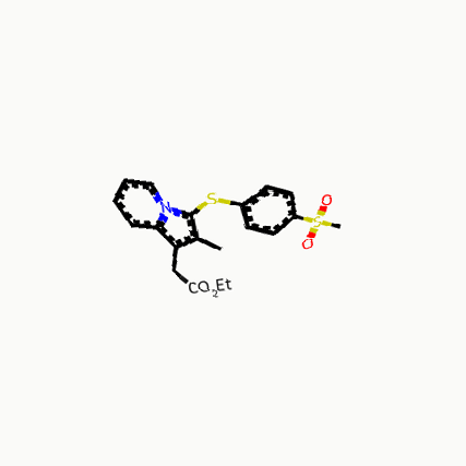 CCOC(=O)Cc1c(C)c(Sc2ccc(S(C)(=O)=O)cc2)n2ccccc12